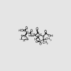 CC1(C)C(C(=O)O)N2C(=O)[C@@H](NC(=O)C(C(=O)O)=C3SCCS3)[C@H]2S1(=O)=O